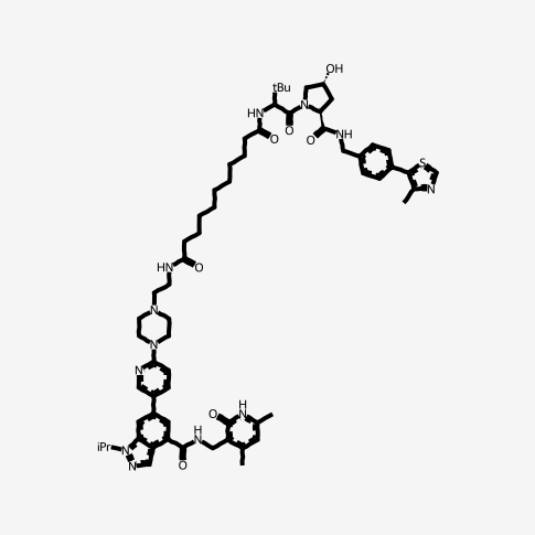 Cc1cc(C)c(CNC(=O)c2cc(-c3ccc(N4CCN(CCNC(=O)CCCCCCCCCC(=O)NC(C(=O)N5C[C@H](O)C[C@H]5C(=O)NCc5ccc(-c6scnc6C)cc5)C(C)(C)C)CC4)nc3)cc3c2cnn3C(C)C)c(=O)[nH]1